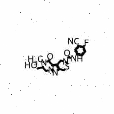 CN1C(=O)c2c3c(nn2CC1CO)CSN(C(=O)Nc1ccc(F)c(C#N)c1)C3